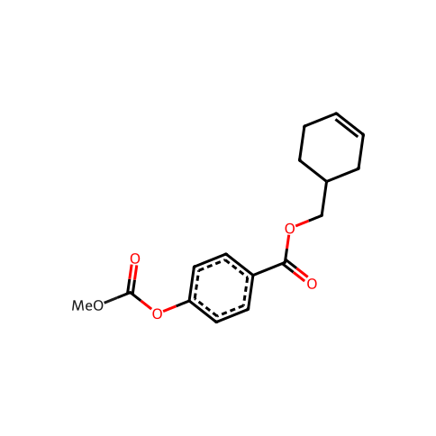 COC(=O)Oc1ccc(C(=O)OCC2CC=CCC2)cc1